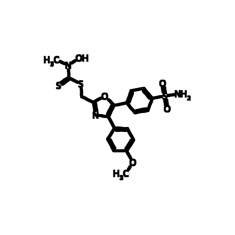 COc1ccc(-c2nc(CSC(=S)N(C)O)oc2-c2ccc(S(N)(=O)=O)cc2)cc1